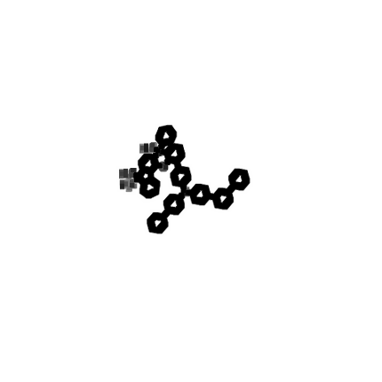 CC1(C)c2ccccc2-c2c1ccc1c2Oc2c(-c3ccc(N(c4ccc(-c5ccccc5)cc4)c4ccc(-c5cccc(-c6ccccc6)c5)cc4)cc3)cccc2[Si]1(C)c1ccccc1